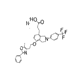 Cc1oc(-c2ccccc2)nc1CCOc1ccc(CCC(=O)O)c2c1CCN(c1ccc(C(F)(F)F)cc1)C2.[N]